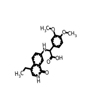 CCc1c[nH]c(=O)c2cc(NC(C(=O)O)c3ccc(OC)c(OC)c3)ccc12